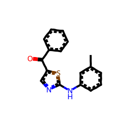 Cc1cccc(Nc2ncc(C(=O)c3ccccc3)s2)c1